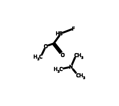 CN(C)C.COC(=O)BF